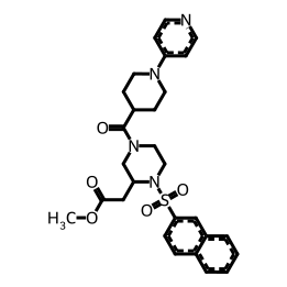 COC(=O)CC1CN(C(=O)C2CCN(c3ccncc3)CC2)CCN1S(=O)(=O)c1ccc2ccccc2c1